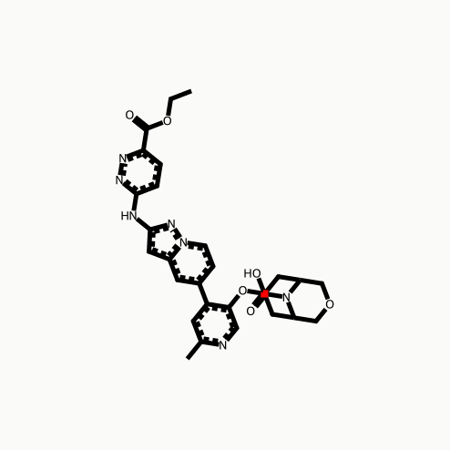 CCOC(=O)c1ccc(Nc2cc3cc(-c4cc(C)ncc4OC4CC5COCC(C4)N5C(=O)O)ccn3n2)nn1